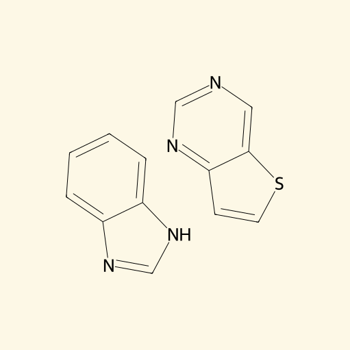 c1ccc2[nH]cnc2c1.c1ncc2sccc2n1